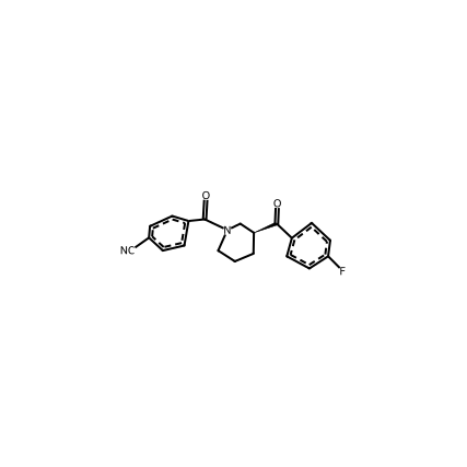 N#Cc1ccc(C(=O)N2CCC[C@H](C(=O)c3ccc(F)cc3)C2)cc1